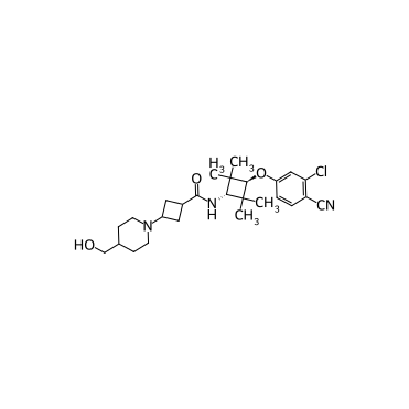 CC1(C)[C@H](NC(=O)C2CC(N3CCC(CO)CC3)C2)C(C)(C)[C@H]1Oc1ccc(C#N)c(Cl)c1